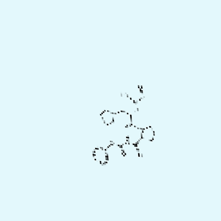 O=CN(O)C[C@@H](CC1CCCC1)C(=O)N1CCC[C@H]1C(=O)NC(=O)Oc1ccccc1